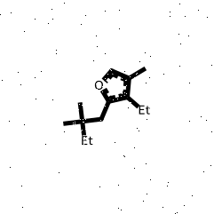 CCc1c(C)coc1CC(C)(C)CC